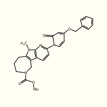 Cn1c2c(c3ccc(-n4ccc(OCc5ccccc5)cc4=O)nc31)CN(C(=O)OC(C)(C)C)CCC2